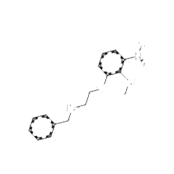 CNc1c(OCCNCc2ccccc2)cccc1[N+](=O)[O-]